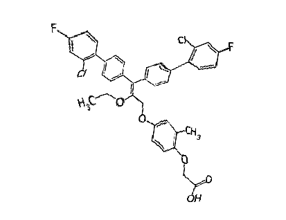 CCOC(COc1ccc(OCC(=O)O)c(C)c1)=C(c1ccc(-c2ccc(F)cc2Cl)cc1)c1ccc(-c2ccc(F)cc2Cl)cc1